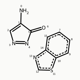 NC1=CN=NC1=O.c1ccc2scnc2c1